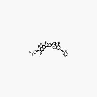 Fc1cc(OC(F)(F)c2c(F)cc(C#Cc3ncccn3)cc2F)ccc1-c1cc(F)c2c(F)c(C#CC(F)(F)F)c(F)cc2c1